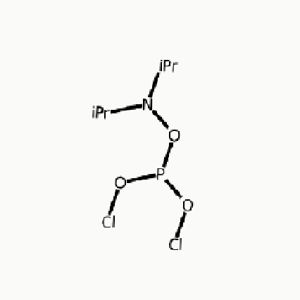 CC(C)N(OP(OCl)OCl)C(C)C